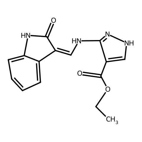 CCOC(=O)c1c[nH]nc1N/C=C1\C(=O)Nc2ccccc21